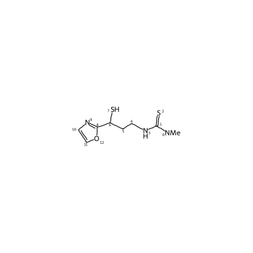 CNC(=S)NCCC(S)c1ncco1